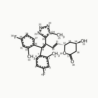 Cc1cc(F)ccc1C(=C(C=C[C@@H]1C[C@@H](O)CC(=O)O1)c1nnnn1C)c1ccc(F)cc1C